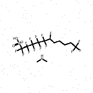 CNC.O=S(=O)(O)C(F)(F)C(F)(F)C(F)(F)C(F)(F)C(F)(F)C(F)CCCCC(F)(F)F